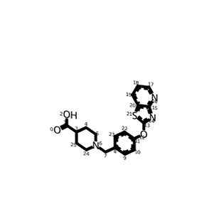 O=C(O)C1CCN(Cc2ccc(Oc3nc4ncccc4s3)cc2)CC1